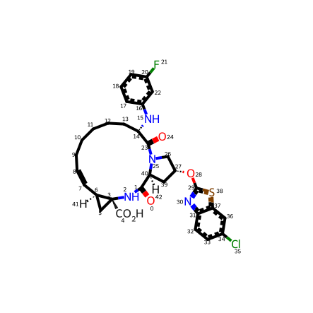 O=C1N[C@]2(C(=O)O)C[C@H]2/C=C\CCCCC[C@H](Nc2cccc(F)c2)C(=O)N2C[C@H](Oc3nc4ccc(Cl)cc4s3)C[C@@H]12